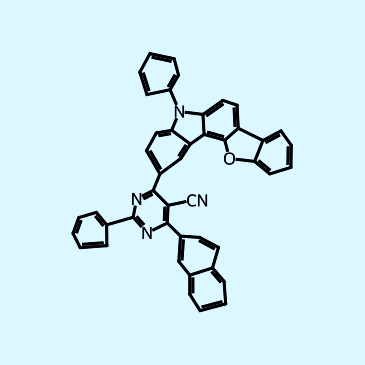 N#Cc1c(-c2ccc3ccccc3c2)nc(-c2ccccc2)nc1-c1ccc2c(c1)c1c3oc4ccccc4c3ccc1n2-c1ccccc1